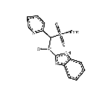 CCCCCS(=O)(=O)C(c1ccccn1)[S+]([O-])c1nc2ccccc2[nH]1